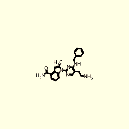 Cc1cc2c(C(N)=O)cccc2n1-c1ncc(CCN)c(NCc2ccccc2)n1